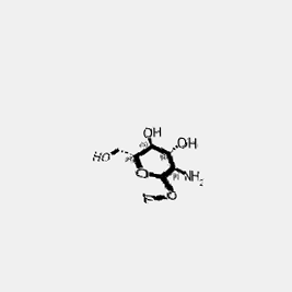 N[C@H]1C(OF)O[C@H](CO)[C@@H](O)[C@@H]1O